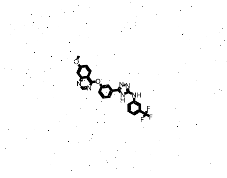 COc1ccc2c(Oc3cccc(-c4nnc(Nc5cccc(C(F)(F)F)c5)[nH]4)c3)ncnc2c1